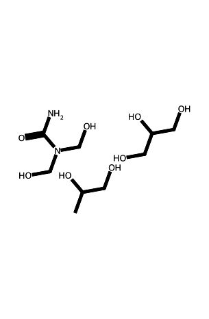 CC(O)CO.NC(=O)N(CO)CO.OCC(O)CO